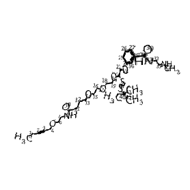 CCC#CCOCCNC(=O)CCCOCCOCCOC(COc1cccc(C(=O)NCCNC)c1)SSC(C)(C)C